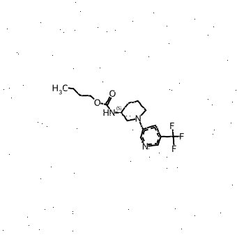 CCCCOC(=O)N[C@H]1CCCN(c2cncc(C(F)(F)F)c2)C1